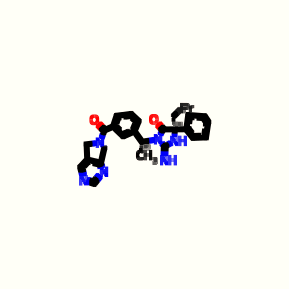 CC(C)C[C@]1(c2ccccc2)NC(=N)N([C@H](C)c2cccc(C(=O)N3Cc4cncnc4C3)c2)C1=O